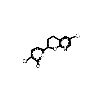 Clc1cnc2c(c1)CCC(c1ccc(Cl)c(Cl)c1)O2